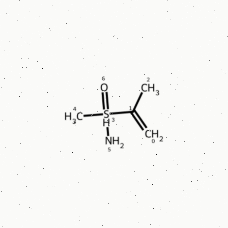 C=C(C)[SH](C)(N)=O